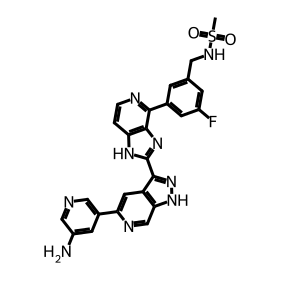 CS(=O)(=O)NCc1cc(F)cc(-c2nccc3[nH]c(-c4n[nH]c5cnc(-c6cncc(N)c6)cc45)nc23)c1